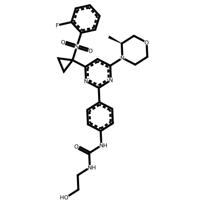 C[C@H]1COCCN1c1cc(C2(S(=O)(=O)c3ccccc3F)CC2)nc(-c2ccc(NC(=O)NCCO)cc2)n1